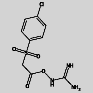 N=C(N)NOC(=O)CS(=O)(=O)c1ccc(Cl)cc1